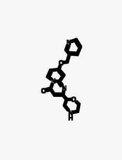 O=c1cc(C2CNCCO2)nc2cc(OCc3cccnc3)ccn12